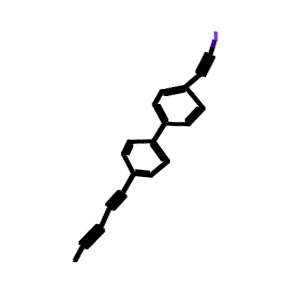 CC#CC#Cc1ccc(-c2ccc(C#CI)cc2)cc1